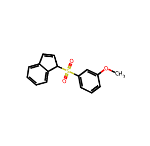 COc1cccc(S(=O)(=O)C2C=Cc3ccccc32)c1